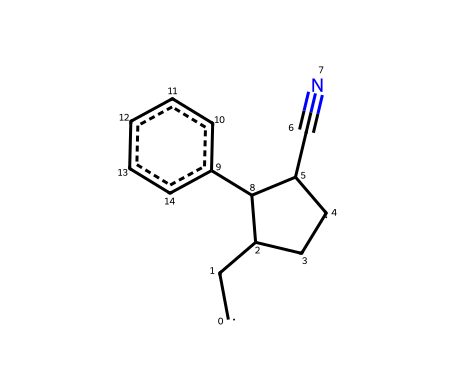 [CH2]CC1C[CH]C(C#N)C1c1ccccc1